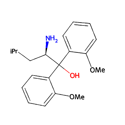 COc1ccccc1C(O)(c1ccccc1OC)[C@H](N)CC(C)C